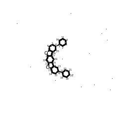 c1ccc(-c2ccc3oc4cc5oc6ccc(-c7ccccc7)cc6c5cc4c3c2)cc1